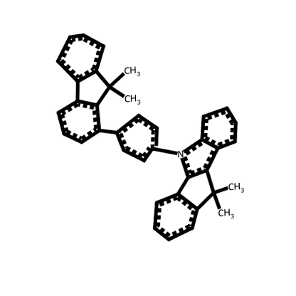 CC1(C)c2ccccc2-c2cccc(-c3ccc(-n4c5c(c6ccccc64)C(C)(C)c4ccccc4-5)cc3)c21